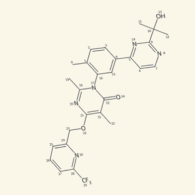 Cc1ccc(-c2ccnc(C(C)(C)O)n2)cc1-n1c(C)nc(OCc2cccc(C(F)(F)F)n2)c(C)c1=O